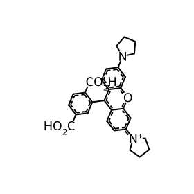 O=C(O)c1ccc(C(=O)O)c(-c2c3ccc(=[N+]4CCCC4)cc-3oc3cc(N4CCCC4)ccc23)c1